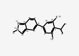 CC(C)c1c(F)cc(-c2ccc3nn(C)cc3c2)cc1F